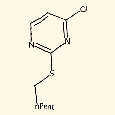 CCCCCCSc1nccc(Cl)n1